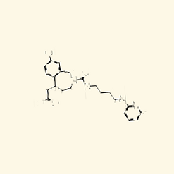 O=C(O)CC1CCN(C(=O)NCCCCNc2ccccn2)Cc2cc(O)ccc21